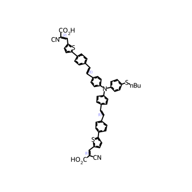 [C-]#[N+]/C(=C\c1ccc(-c2ccc(/C=C/c3ccc(N(c4ccc(/C=C/c5ccc(-c6ccc(/C=C(\C#N)C(=O)O)s6)cc5)cc4)c4ccc(SCCCC)cc4)cc3)cc2)s1)C(=O)O